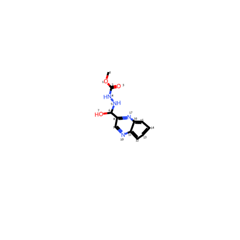 COC(=O)NNC(O)c1cnc2ccccc2n1